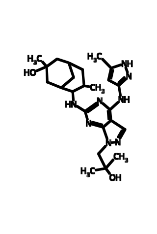 Cc1cc(Nc2nc(NC3C(C)CC4CC3CC(C)(O)C4)nc3c2cnn3CC(C)(C)O)n[nH]1